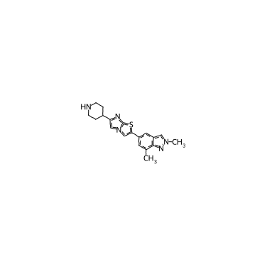 Cc1cc(-c2cn3cc(C4CCNCC4)nc3s2)cc2cn(C)nc12